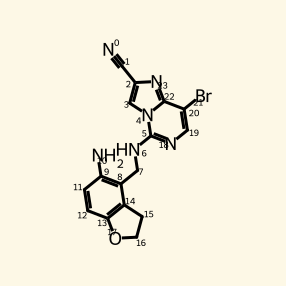 N#Cc1cn2c(NCc3c(N)ccc4c3CCO4)ncc(Br)c2n1